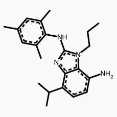 CCCn1c(Nc2c(C)cc(C)cc2C)nc2c(C(C)C)ccc(N)c21